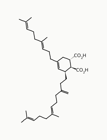 C=C(CC/C=C(\C)CCC=C(C)C)CC[C@H]1C=C(CC/C=C(\C)CCC=C(C)C)C[C@H](C(=O)O)[C@H]1C(=O)O